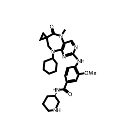 COc1cc(C(=O)N[C@H]2CCCNC2)ccc1Nc1ncc2c(n1)N(C1CCCCC1)CC1(CC1)C(=O)N2C